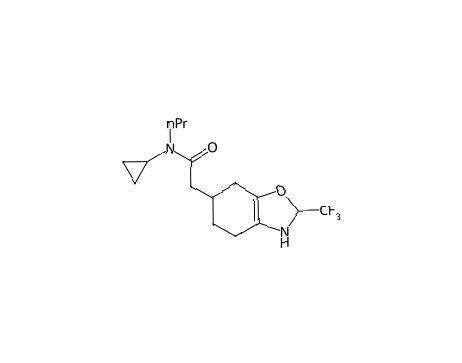 CCCN(C(=O)CC1CCC2=C(C1)OC(C(F)(F)F)N2)C1CC1